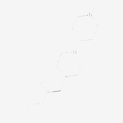 CCOC(=O)CC1CCN(C2CCN(C)CC2)CC1